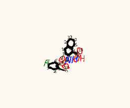 Cc1ccc(F)cc1S(=O)(=O)Nc1ccc2c(c1C(=O)O)CCCC2